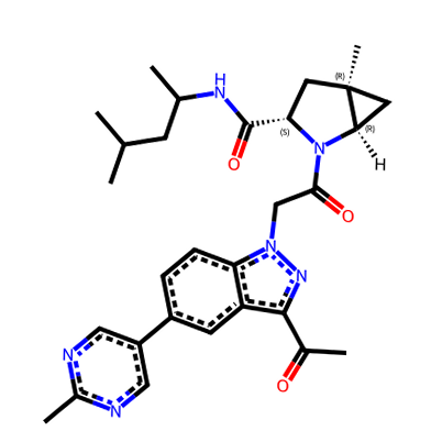 CC(=O)c1nn(CC(=O)N2[C@H](C(=O)NC(C)CC(C)C)C[C@@]3(C)C[C@@H]23)c2ccc(-c3cnc(C)nc3)cc12